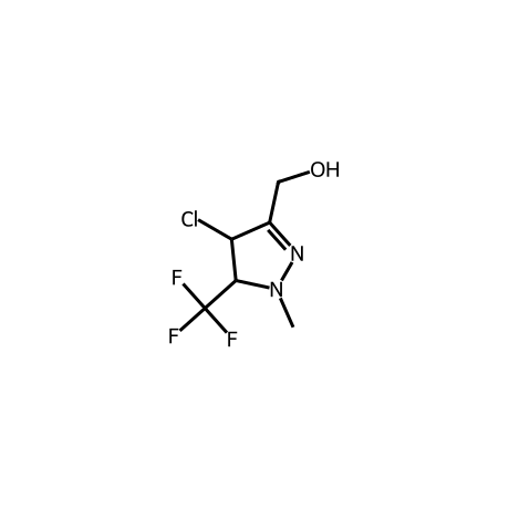 CN1N=C(CO)C(Cl)C1C(F)(F)F